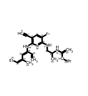 C#Cc1cc(F)c(NCC(C)NC(=C)OC(C)C)nc1N/C(C=C)=C/C(C)=C\CC